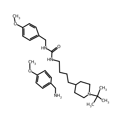 COc1ccc(CN)cc1.COc1ccc(CNC(=O)NCCCCC2CCN(C(C)(C)C)CC2)cc1